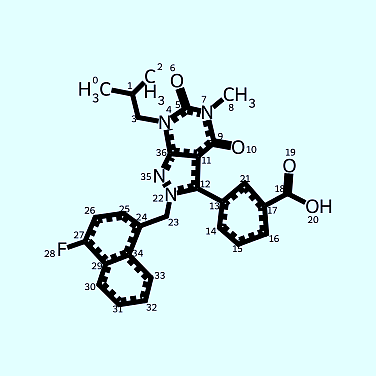 CC(C)Cn1c(=O)n(C)c(=O)c2c(-c3cccc(C(=O)O)c3)n(Cc3ccc(F)c4ccccc34)nc21